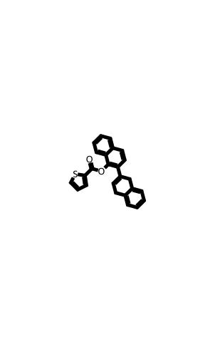 O=C(Oc1c(C2=CCc3ccccc3C2)ccc2ccccc12)c1cccs1